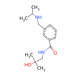 CC(C)NCc1cccc(C(=O)NCC(C)(C)O)c1